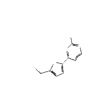 N[CH]c1ccc(-c2ccnc(N)n2)s1